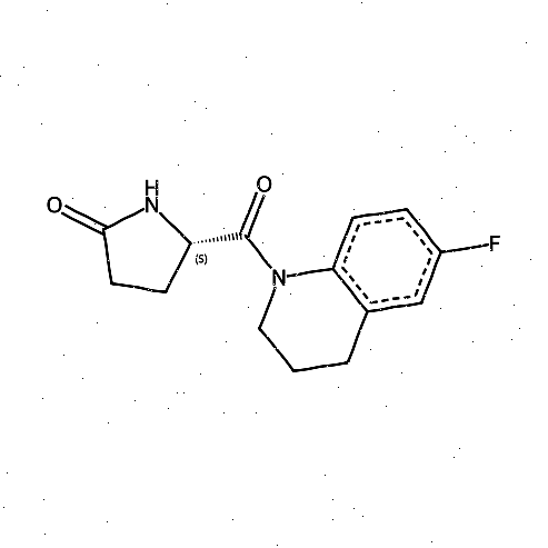 O=C1CC[C@@H](C(=O)N2CCCc3cc(F)ccc32)N1